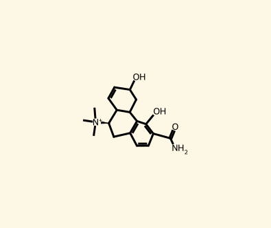 C[N+](C)(C)[C@@H]1Cc2ccc(C(N)=O)c(O)c2C2CC(O)C=CC21